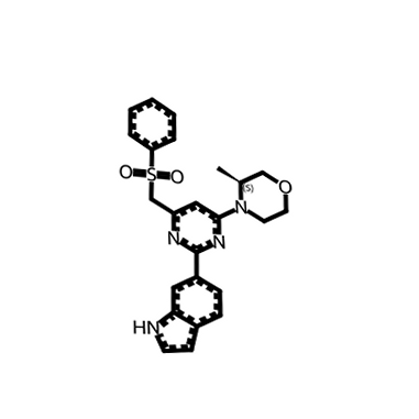 C[C@H]1COCCN1c1cc(CS(=O)(=O)c2ccccc2)nc(-c2ccc3cc[nH]c3c2)n1